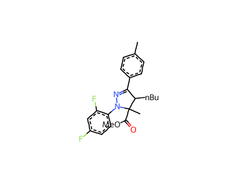 CCCCC1C(c2ccc(C)cc2)=NN(c2ccc(F)cc2F)C1(C)C(=O)OC